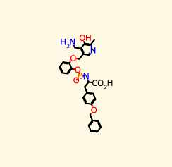 Cc1ncc(COc2ccccc2O/[P+]([O-])=N/C(Cc2ccc(OCc3ccccc3)cc2)C(=O)O)c(CN)c1O